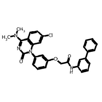 CN(C)c1nc(=O)n(-c2cccc(OCC(=O)Nc3cccc(-c4ccccc4)c3)c2)c2cc(Cl)ccc12